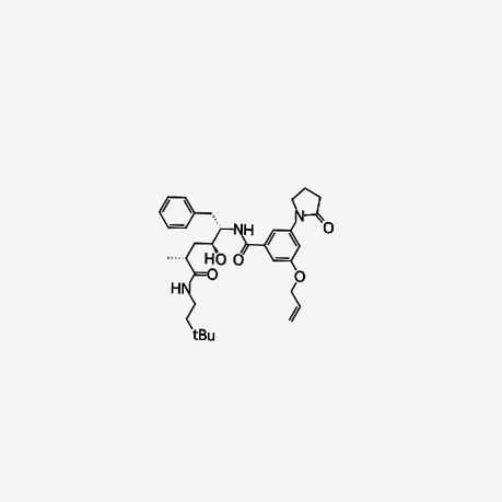 C=CCOc1cc(C(=O)N[C@@H](Cc2ccccc2)[C@@H](O)C[C@@H](C)C(=O)NCCC(C)(C)C)cc(N2CCCC2=O)c1